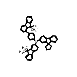 CC1(C)c2ccccc2-c2ccc(N(c3ccc(-c4cccc5c4C(C)(C)c4ccccc4-5)cc3)c3ccc4c(c3)C3(CCCC3)c3ccccc3-4)cc21